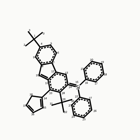 CC(C)(C)c1ccc2c(c1)[C]=c1c-2cc(=[Si](c2ccccc2)c2ccccc2)c(C(C)(C)C)c1C1=CC=CC1